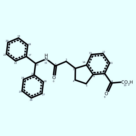 O=C(CC1CCc2c(C(=O)C(=O)O)cccc21)NC(c1ccccc1)c1ccccc1